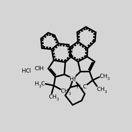 CC(C)(C)C1=Cc2c(ccc3ccccc23)[CH]1[Hf]1([CH]2C(C(C)(C)C)=Cc3c2ccc2ccccc32)[CH]2CCCC[CH]21.Cl.Cl